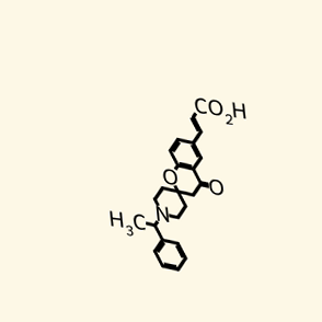 CC(c1ccccc1)N1CCC2(CC1)CC(=O)c1cc(/C=C/C(=O)O)ccc1O2